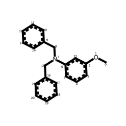 COc1cccc(N(Cc2ccccc2)Cc2ccccc2)c1